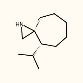 CC(C)[C@H]1CCCCC[C@@]12CN2